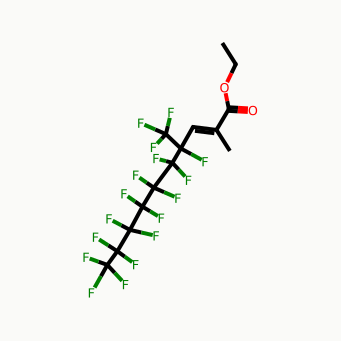 CCOC(=O)C(C)=CC(F)(C(F)(F)F)C(F)(F)C(F)(F)C(F)(F)C(F)(F)C(F)(F)C(F)(F)F